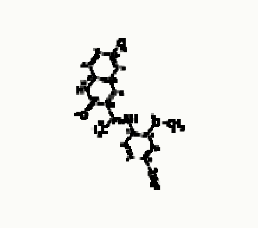 COc1nc(C#N)ccc1NC(C)c1cc2cc(Cl)ccc2[nH]c1=O